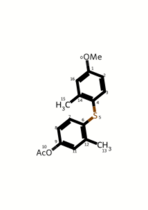 COc1ccc(Sc2ccc(OC(C)=O)cc2C)c(C)c1